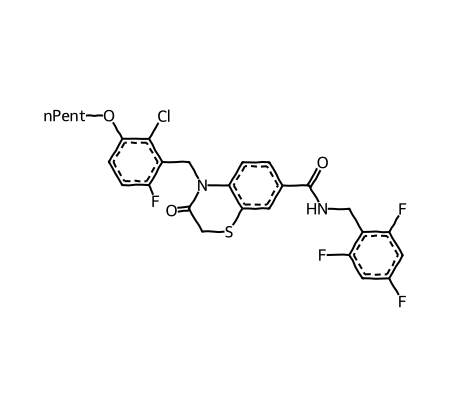 CCCCCOc1ccc(F)c(CN2C(=O)CSc3cc(C(=O)NCc4c(F)cc(F)cc4F)ccc32)c1Cl